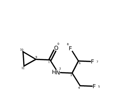 O=C(NC(CF)C(F)F)C1CC1